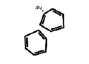 B.c1ccccc1.c1ccccc1